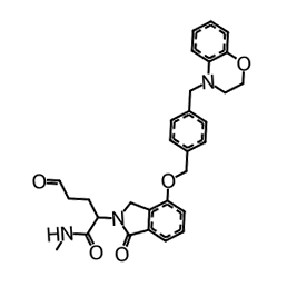 CNC(=O)C(CCC=O)N1Cc2c(OCc3ccc(CN4CCOc5ccccc54)cc3)cccc2C1=O